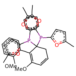 COC1=C(c2ccccc2OC)C(P(c2ccc(C)o2)c2ccc(C)o2)(P(c2ccc(C)o2)c2ccc(C)o2)CC=C1